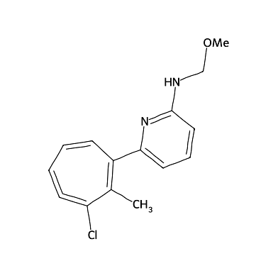 COCNc1cccc(C2=C(C)C(Cl)=C=CC=C2)n1